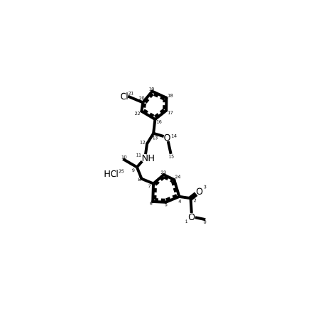 COC(=O)c1ccc(CC(C)NCC(OC)c2cccc(Cl)c2)cc1.Cl